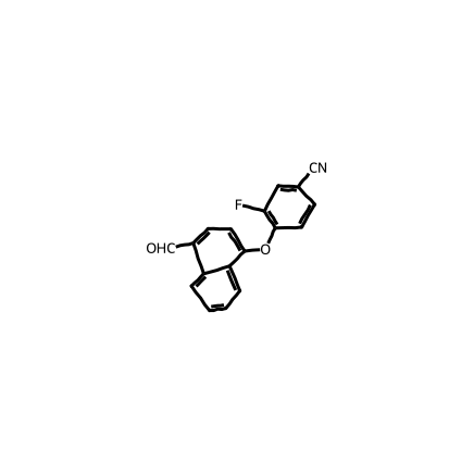 N#Cc1ccc(Oc2ccc(C=O)c3ccccc23)c(F)c1